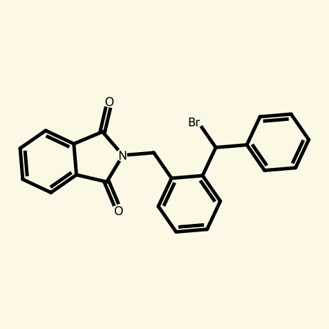 O=C1c2ccccc2C(=O)N1Cc1ccccc1C(Br)c1ccccc1